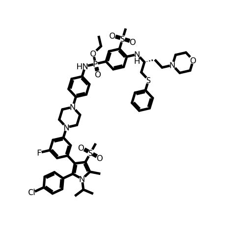 CCOP(=O)(Nc1ccc(N2CCN(c3cc(F)cc(-c4c(S(C)(=O)=O)c(C)n(C(C)C)c4-c4ccc(Cl)cc4)c3)CC2)cc1)c1ccc(N[C@H](CCN2CCOCC2)CSc2ccccc2)c(S(C)(=O)=O)c1